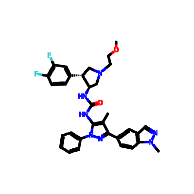 COCCN1C[C@@H](NC(=O)Nc2c(C)c(-c3ccc4c(cnn4C)c3)nn2-c2ccccc2)[C@H](c2ccc(F)c(F)c2)C1